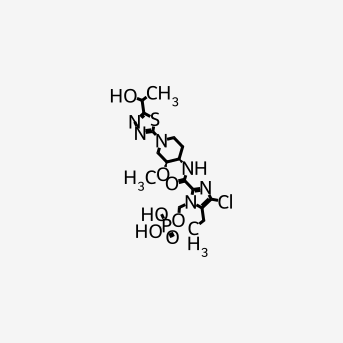 CCc1c(Cl)nc(C(=O)N[C@@H]2CCN(c3nnc(C(C)O)s3)C[C@@H]2OC)n1COP(=O)(O)O